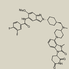 COc1cc2nn([C@H]3CC[C@H](CN(C)C4CCN(c5cccc6c5n(C)c(=O)n6C5CCC(=O)NC5=O)CC4)CC3)cc2cc1NC(=O)c1ccc(F)c(F)c1